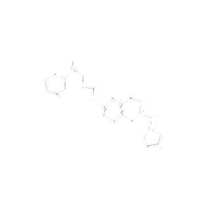 CN(CCCOc1ccc2c(c1)CCC(CN1CCCC1)C2)C1CCCCC1